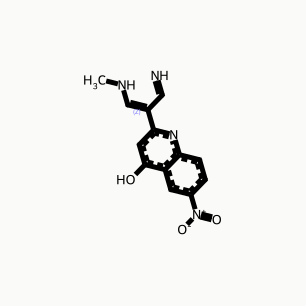 CN/C=C(\C=N)c1cc(O)c2cc([N+](=O)[O-])ccc2n1